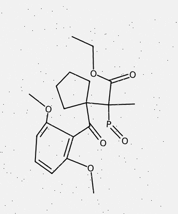 CCOC(=O)C(C)(P=O)C1(C(=O)c2c(OC)cccc2OC)CCCC1